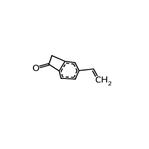 C=Cc1ccc2c(c1)CC2=O